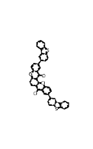 O=c1c2cc(-c3ccc4sc5ccccc5c4c3)ccc2oc2c1ccc1oc3ccc(-c4ccc5sc6ccccc6c5c4)cc3c(=O)c12